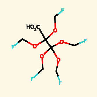 O=C(O)C(OCF)(OCF)C(OCF)(OCF)OCF